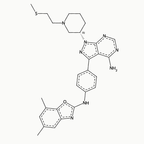 CSCCN1CCC[C@H](n2nc(-c3ccc(Nc4nc5cc(C)cc(C)c5o4)cc3)c3c(N)ncnc32)C1